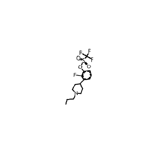 CCCN1CCC(c2cccc(OS(=O)(=O)C(F)(F)F)c2F)CC1